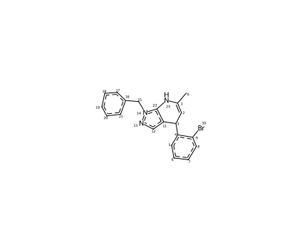 CC1=CC(c2ccccc2Br)c2cnn(Cc3ccccc3)c2N1